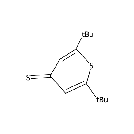 CC(C)(C)c1cc(=S)cc(C(C)(C)C)s1